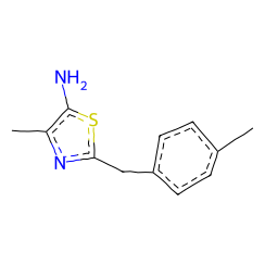 Cc1ccc(Cc2nc(C)c(N)s2)cc1